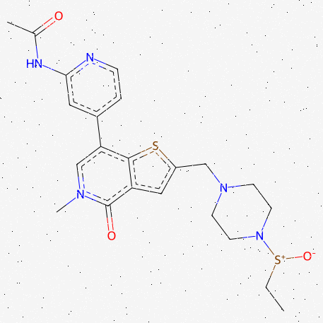 CC[S+]([O-])N1CCN(Cc2cc3c(=O)n(C)cc(-c4ccnc(NC(C)=O)c4)c3s2)CC1